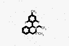 Cc1cc(F)c(C2c3ccccc3C[C@@H](C)N2CC(F)(F)F)c(F)c1